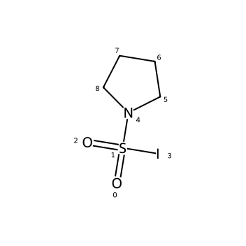 O=S(=O)(I)N1CCCC1